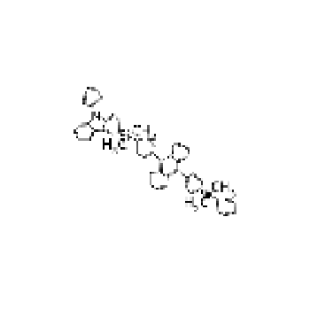 C[Si](C)(c1ccccc1)c1ccc(-c2c3ccccc3c(-c3ccc([Si](C)(C)c4ccc5c(c4)c4ccccc4n5-c4ccccc4)cc3)c3ccccc23)cc1